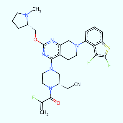 C=C(F)C(=O)N1CCN(c2nc(OC[C@@H]3CCCN3C)nc3c2CCN(c2cccc4sc(F)c(F)c24)C3)C[C@@H]1CC#N